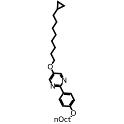 CCCCCCCCOc1ccc(-c2ncc(OCCCCCCCCC3CC3)cn2)cc1